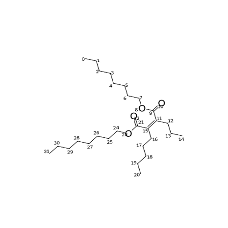 CCCCCCCCOC(=O)C(CCC)=C(CCCCC)C(=O)OCCCCCCCC